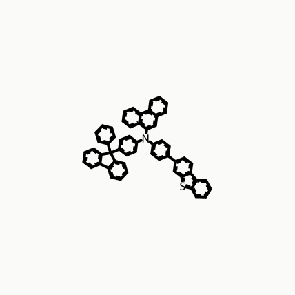 c1ccc(C2(c3ccc(N(c4ccc(-c5ccc6c(c5)sc5ccccc56)cc4)c4cc5ccccc5c5ccccc45)cc3)c3ccccc3-c3ccccc32)cc1